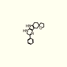 c1ccc(C2=Nc3c([nH]c4c3CC3(CCCO3)CC4)NC2)cc1